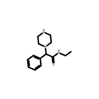 CCNC(=O)C(c1ccccc1)N1CCNCC1